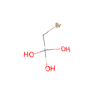 OC(O)(O)CBr